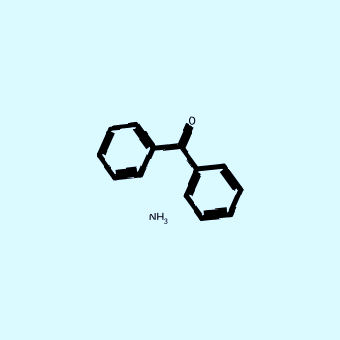 N.O=C(c1ccccc1)c1ccccc1